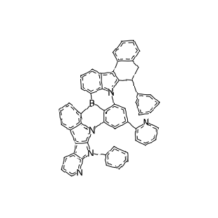 c1ccc(C2Cc3ccccc3-c3c2n2c4c(cccc34)B3c4c-2cc(-c2ccccn2)cc4-n2c4c3cccc4c3c4cccnc4n(-c4ccccc4)c32)cc1